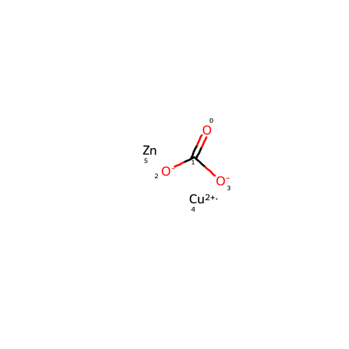 O=C([O-])[O-].[Cu+2].[Zn]